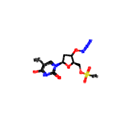 Cc1cn([C@H]2CC(ON=[N+]=[N-])[C@@H](COS(C)(=O)=O)O2)c(=O)[nH]c1=O